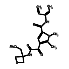 C=C/C(=C\C)NC(=O)c1cc(C(=O)C(=O)NC2(COC)COC2)c(C)n1C